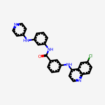 O=C(Nc1cccc(Nc2ccncc2)c1)c1cccc(Nc2ccnc3ccc(Cl)cc23)c1